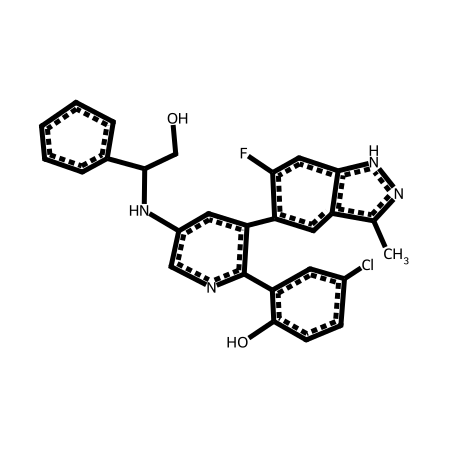 Cc1n[nH]c2cc(F)c(-c3cc(NC(CO)c4ccccc4)cnc3-c3cc(Cl)ccc3O)cc12